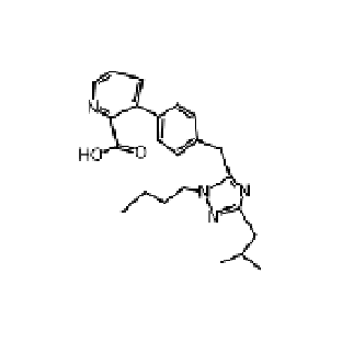 CCCCn1nc(CC(C)C)nc1Cc1ccc(-c2cccnc2C(=O)O)cc1